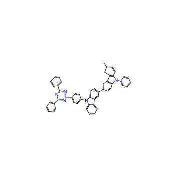 CC1C=Cc2c(c3cc(-c4ccc5c(c4)c4ccccc4n5-c4ccc(-c5nc(-c6ccccc6)nc(-c6ccccc6)n5)cc4)ccc3n2-c2ccccc2)C1